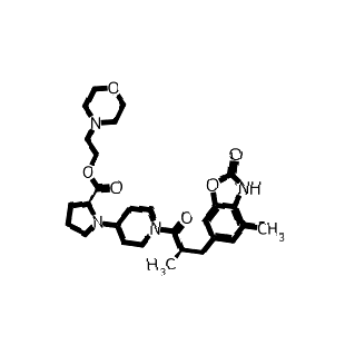 Cc1cc(C[C@@H](C)C(=O)N2CCC(N3CCC[C@H]3C(=O)OCCN3CCOCC3)CC2)cc2oc(=O)[nH]c12